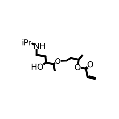 C=CC(=O)OC(C)CCOC(C)C(O)CCNC(C)C